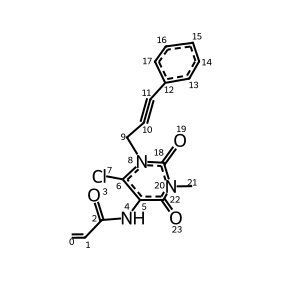 C=CC(=O)Nc1c(Cl)n(CC#Cc2ccccc2)c(=O)n(C)c1=O